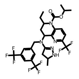 CCC1CC(N(Cc2cc(C(F)(F)F)cc(C(F)(F)F)c2)C2=NNC(C)C2)c2nc(C(F)(F)F)ccc2N1C(=O)OC(C)C